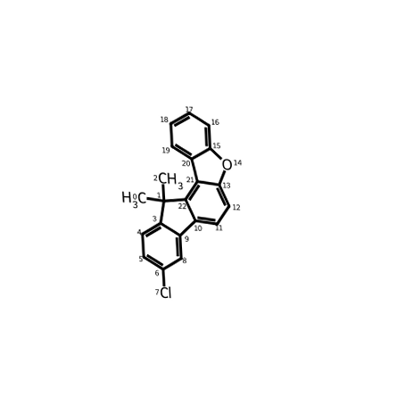 CC1(C)c2ccc(Cl)cc2-c2ccc3oc4ccccc4c3c21